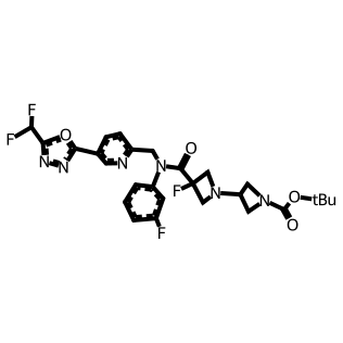 CC(C)(C)OC(=O)N1CC(N2CC(F)(C(=O)N(Cc3ccc(-c4nnc(C(F)F)o4)cn3)c3cccc(F)c3)C2)C1